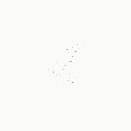 C#Cc1c(-c2ccc(-c3ccc(C4CN/C(c5ccccc5-c5ccccc5)=C\CC/C(c5cccc6c5oc5ccccc56)=N\4)c4ccccc34)cc2)cc2ccccc2c1/C=C\C